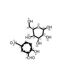 O=Cc1cc([N+](=O)[O-])ccc1O.OC[C@H]1OC(O)[C@H](O)[C@@H](O)[C@H]1O